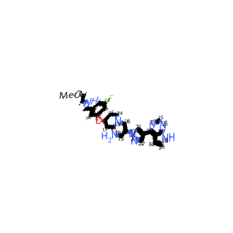 COCCNCc1cc(F)cc(OC2CCN(CC(CN)n3cc(-c4ncnc5[nH]ccc45)cn3)CC2)c1